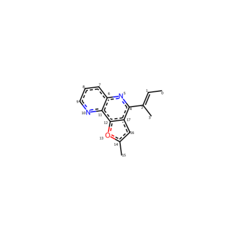 C/C=C(\C)c1nc2cccnc2c2oc(C)cc12